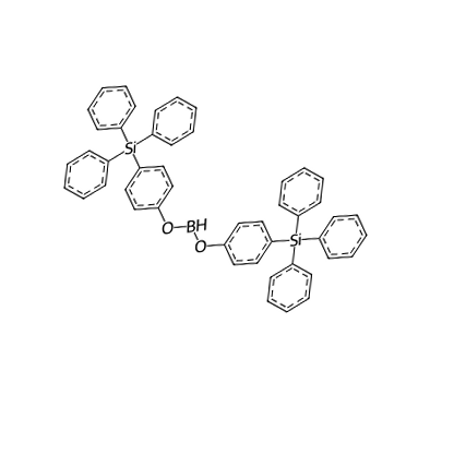 B(Oc1ccc([Si](c2ccccc2)(c2ccccc2)c2ccccc2)cc1)Oc1ccc([Si](c2ccccc2)(c2ccccc2)c2ccccc2)cc1